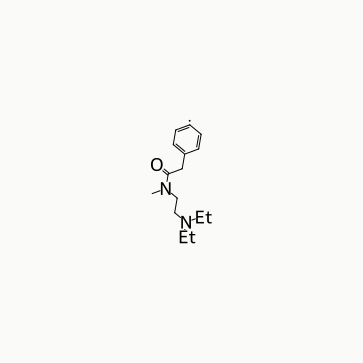 CCN(CC)CCN(C)C(=O)Cc1cc[c]cc1